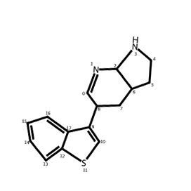 C1=NC2NCCC2CC1c1csc2ccccc12